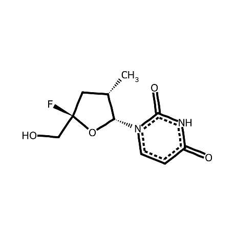 C[C@H]1C[C@@](F)(CO)O[C@H]1n1ccc(=O)[nH]c1=O